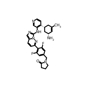 CC1=C[C@H](N)C[C@H](c2ccncc2Nc2ncc3ccc(-c4c(F)cc(CN5CCCC5=O)cc4F)nn23)C1